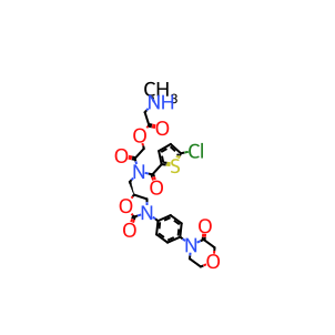 CNCC(=O)OCC(=O)N(C[C@H]1CN(c2ccc(N3CCOCC3=O)cc2)C(=O)O1)C(=O)c1ccc(Cl)s1